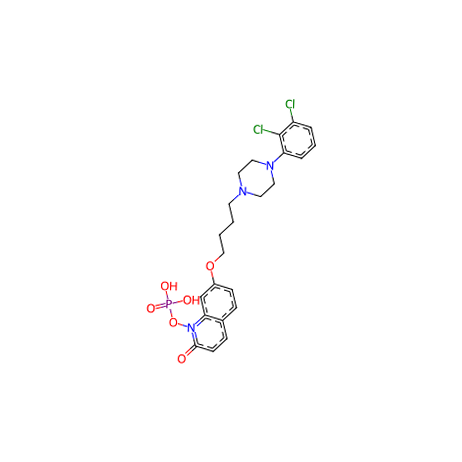 O=c1ccc2ccc(OCCCCN3CCN(c4cccc(Cl)c4Cl)CC3)cc2n1OP(=O)(O)O